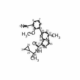 COc1c(C#N)cccc1-c1cc(C)n2cnc(C(=O)N[C@@H](C)C3CC3)c2n1